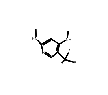 CNc1cc(NC)c(C(F)(F)F)cn1